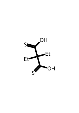 CCC(CC)(C(O)=S)C(O)=S